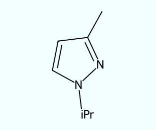 Cc1ccn(C(C)C)n1